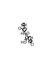 CC1(CO)CN(C(=O)Nc2cnc(-n3nccn3)c(Cl)c2)c2cnc3cc(Cl)nn3c21